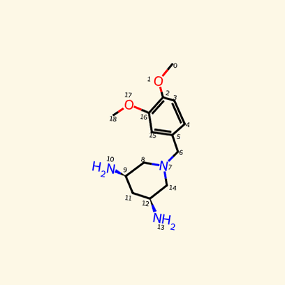 COc1ccc(CN2C[C@H](N)C[C@H](N)C2)cc1OC